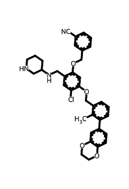 Cc1c(COc2cc(OCc3cccc(C#N)c3)c(CNC3CCCNC3)cc2Cl)cccc1-c1ccc2c(c1)OCCO2